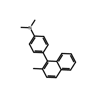 Cc1ccc2ccccc2c1-c1ccc(N(C)C)cc1